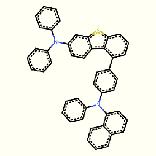 c1ccc(N(c2ccccc2)c2ccc3c(c2)sc2cccc(-c4ccc(N(c5ccccc5)c5cccc6ccccc56)cc4)c23)cc1